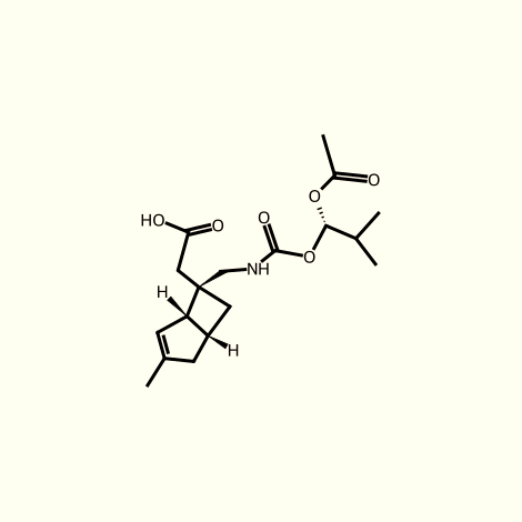 CC(=O)O[C@@H](OC(=O)NC[C@@]1(CC(=O)O)C[C@@H]2CC(C)=C[C@@H]21)C(C)C